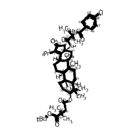 CC(C)C1=C2[C@H]3CC[C@@H]4[C@@]5(C)CC[C@H](OC(=O)CC(C)(C)C(=O)OC(C)(C)C)C(C)(C)[C@@H]5CC[C@@]4(C)[C@]3(C)CC[C@@]2(NC(=O)C(C)(C)NC(=O)c2ccc(Cl)cc2)CC1=O